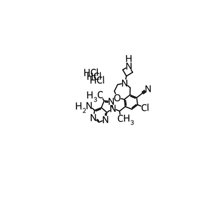 Cc1nn(C(C)c2cc(Cl)c(C#N)c3c2OCCN(C2CNC2)C3)c2ncnc(N)c12.Cl.Cl.Cl